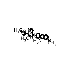 COc1ccc2c(c1)[C@@H](N)C1(CCN(c3nc(C)c(-c4cnn(C)c4Cl)n4nccc34)CC1)C2